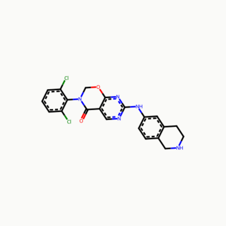 O=C1c2cnc(Nc3ccc4c(c3)CCNC4)nc2OCN1c1c(Cl)cccc1Cl